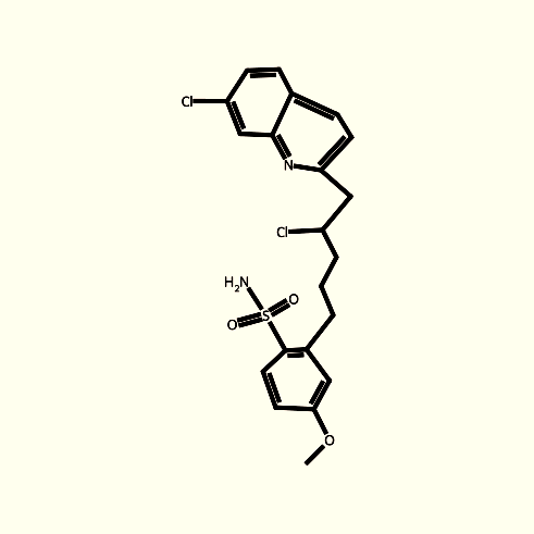 COc1ccc(S(N)(=O)=O)c(CCCC(Cl)Cc2ccc3ccc(Cl)cc3n2)c1